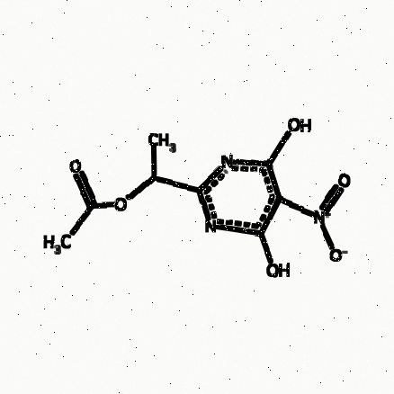 CC(=O)OC(C)c1nc(O)c([N+](=O)[O-])c(O)n1